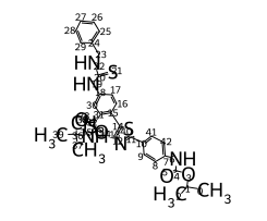 CC(C)OC(=O)Nc1ccc(-c2ncc(-c3ccc(NC(=S)NCc4ccccc4)cc3S(=O)(=O)NC(C)(C)C)s2)cc1